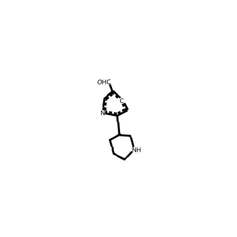 O=Cc1ccc(C2CCCNC2)nc1